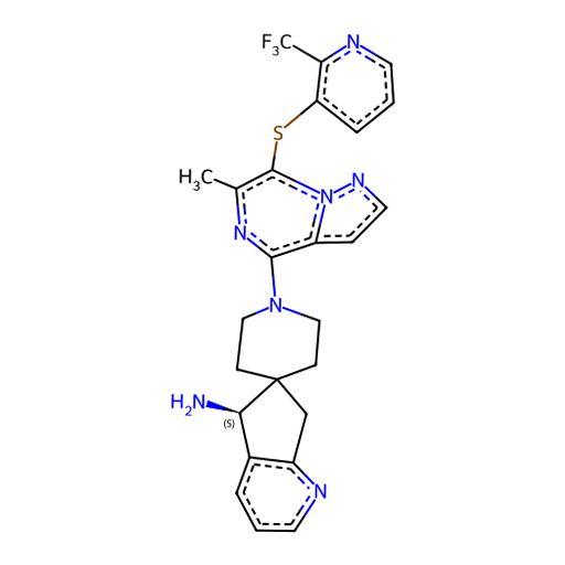 Cc1nc(N2CCC3(CC2)Cc2ncccc2[C@H]3N)c2ccnn2c1Sc1cccnc1C(F)(F)F